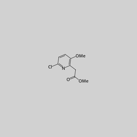 COC(=O)Cc1nc(Cl)ccc1OC